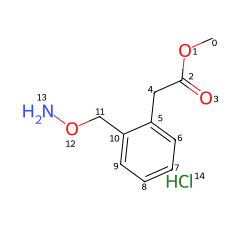 COC(=O)Cc1ccccc1CON.Cl